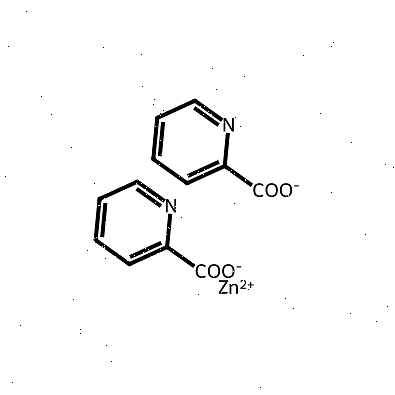 O=C([O-])c1ccccn1.O=C([O-])c1ccccn1.[Zn+2]